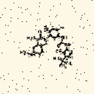 CNc1cc2c(cn1)CN(c1cc(NC(=O)Nc3onc(C(C)(C)C)c3Cl)c(F)cc1C)C(=O)N2C